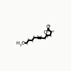 CCCCCC#CCC1CCC(=O)O1